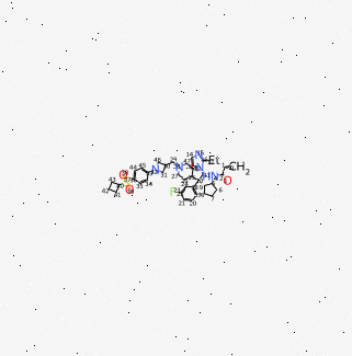 C=CC(=O)N[C@H]1CCC[C@@H]1C(Cn1ccnc1CC)(c1cccc(F)c1)C1CCN(CC2CN(c3ccc(S(=O)(=O)C4CCC4)cc3)C2)CC1